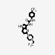 O=C(Nc1ccc(C(F)(F)F)cc1)Nc1c[nH]c2ccc(N3CCN(CC(F)(F)F)CC3)nc12